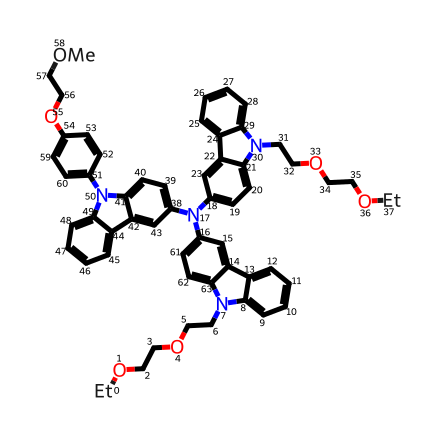 CCOCCOCCn1c2ccccc2c2cc(N(c3ccc4c(c3)c3ccccc3n4CCOCCOCC)c3ccc4c(c3)c3ccccc3n4-c3ccc(OCCOC)cc3)ccc21